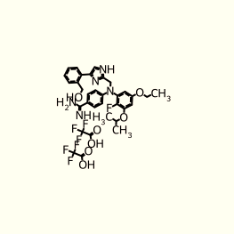 CCOc1cc(OC(C)C)c(F)c(N(Cc2nc(-c3ccccc3CO)c[nH]2)c2ccc(C(=N)N)cc2)c1.O=C(O)C(F)(F)F.O=C(O)C(F)(F)F